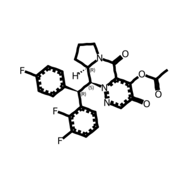 CC(=O)Oc1c2n(ncc1=O)[C@@H]([C@H](c1ccc(F)cc1)c1cccc(F)c1F)[C@H]1CCCN1C2=O